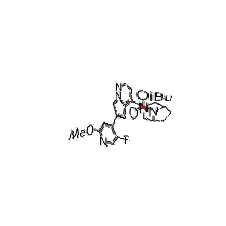 COc1cc(-c2cc3c(N4CC5CCC(C4)N5C(=O)OCC(C)C)ccnn3c2)c(F)cn1